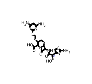 Nc1cc(N)nc(SCSC2=C(C(=O)O)N3C(=O)C(NC(=O)/C(=N\O)c4csc(N)n4)C3SC2)n1